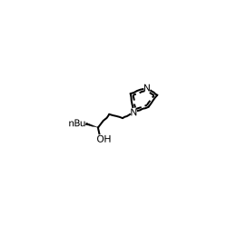 CCCC[C@H](O)CCn1ccnc1